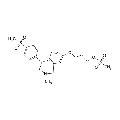 CN1Cc2cc(OCCCOS(C)(=O)=O)ccc2C(c2ccc(S(C)(=O)=O)cc2)C1